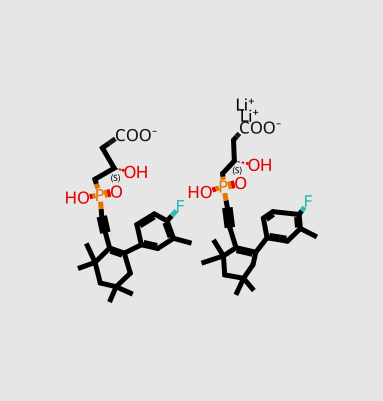 Cc1cc(C2=C(C#CP(=O)(O)C[C@@H](O)CC(=O)[O-])C(C)(C)CC(C)(C)C2)ccc1F.Cc1cc(C2=C(C#CP(=O)(O)C[C@@H](O)CC(=O)[O-])C(C)(C)CC(C)(C)C2)ccc1F.[Li+].[Li+]